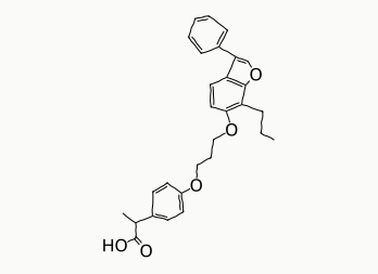 CCCc1c(OCCCOc2ccc(C(C)C(=O)O)cc2)ccc2c(-c3ccccc3)coc12